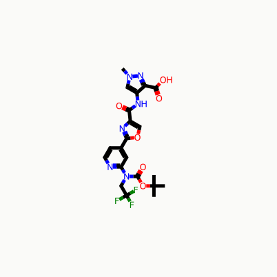 Cn1cc(NC(=O)c2coc(-c3ccnc(N(CC(F)(F)F)C(=O)OC(C)(C)C)c3)n2)c(C(=O)O)n1